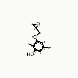 Cc1cc(O)c(C)c(OCC2CO2)c1